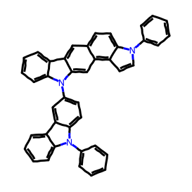 c1ccc(-n2ccc3c4cc5c(cc4ccc32)c2ccccc2n5-c2ccc3c(c2)c2ccccc2n3-c2ccccc2)cc1